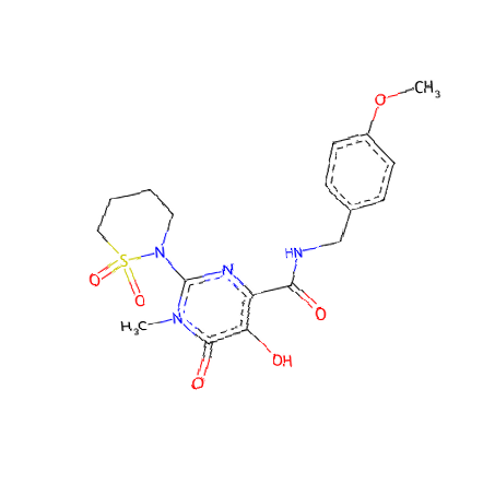 COc1ccc(CNC(=O)c2nc(N3CCCCS3(=O)=O)n(C)c(=O)c2O)cc1